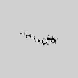 NCCCCCCCC1CCN(C(=O)c2ccco2)C1